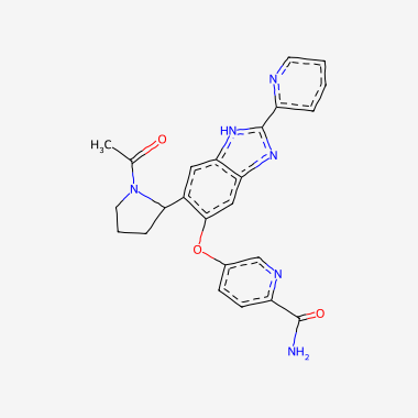 CC(=O)N1CCCC1c1cc2[nH]c(-c3ccccn3)nc2cc1Oc1ccc(C(N)=O)nc1